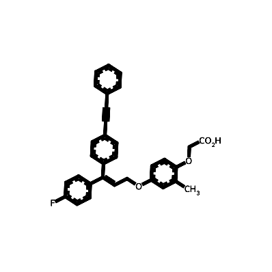 Cc1cc(OC/C=C(/c2ccc(F)cc2)c2ccc(C#Cc3ccccc3)cc2)ccc1OCC(=O)O